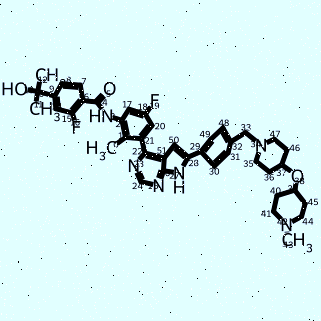 Cc1c(NC(=O)c2ccc(C(C)(C)O)cc2F)cc(F)cc1-c1ncnc2[nH]c(-c3ccc(CN4CCC(OC5CCN(C)CC5)CC4)cc3)cc12